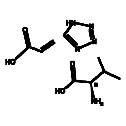 C=CC(=O)O.CC(C)[C@H](N)C(=O)O.c1nnn[nH]1